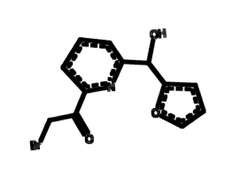 O=C(CBr)c1cccc(C(O)c2ccco2)n1